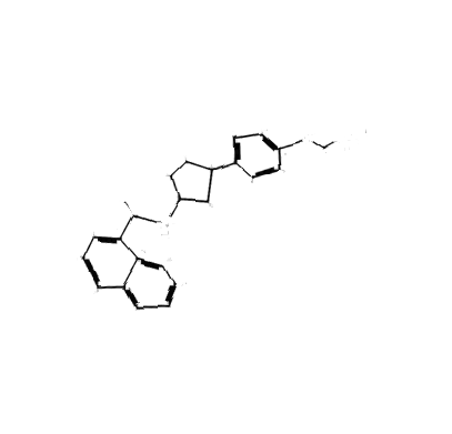 C[C@@H](NC1CCC(c2ccc(SCC(=O)O)cc2)C1)c1cccc2ccccc12